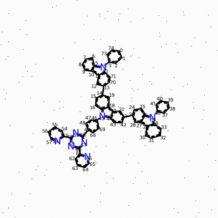 c1ccc(-n2c3ccccc3c3cc(-c4ccc5c(c4)c4cc(-c6ccc7c(c6)c6ccccc6n7-c6ccccc6)ccc4n5-c4ccc(-c5nc(-c6ccccn6)nc(-c6ccccn6)n5)cc4)ccc32)cc1